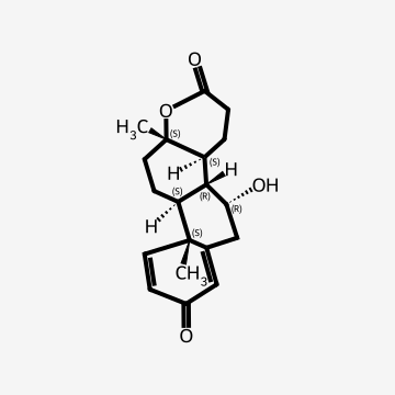 C[C@]12C=CC(=O)C=C1C[C@@H](O)[C@@H]1[C@@H]2CC[C@]2(C)OC(=O)CC[C@@H]12